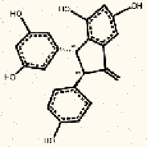 C=C1c2cc(O)cc(O)c2[C@@H](c2cc(O)cc(O)c2)[C@@H]1c1ccc(O)cc1